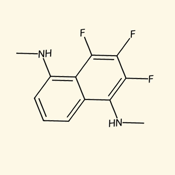 CNc1c(F)c(F)c(F)c2c(NC)cccc12